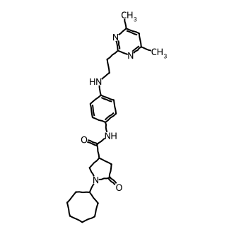 Cc1cc(C)nc(CCNc2ccc(NC(=O)C3CC(=O)N(C4CCCCCC4)C3)cc2)n1